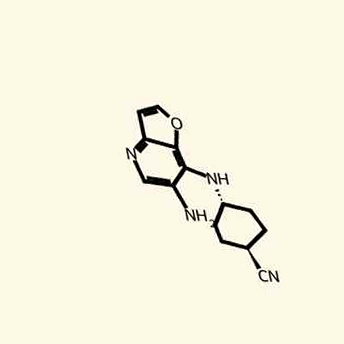 N#C[C@H]1CC[C@H](Nc2c(N)cnc3ccoc23)CC1